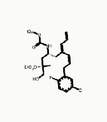 C=C/C=C(\C=C/Cc1cc(Cl)ccc1F)C[C@H](C[C@@](C)(CO)C(=O)OCC)NC(=O)OC(C)(C)C